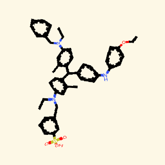 CCOc1ccc(Nc2ccc(C(c3ccc(N(CC)Cc4ccccc4)cc3C)c3ccc(N(CC)Cc4cccc(S(=O)(=O)O)c4)cc3C)cc2)cc1